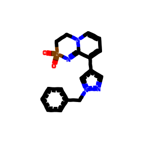 O=S1(=O)CCN2C=CC=C(c3cnn(Cc4ccccc4)c3)C2=N1